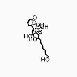 CC(O)(/C=C/C1CC=CC(=O)O1)C(CC(O)/C=C/C=C/C=C/CO)OP(=O)(O)O